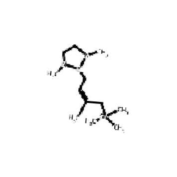 CC(=CCB1N(C)CCN1C)[CH2][Sn]([CH3])([CH3])[CH3]